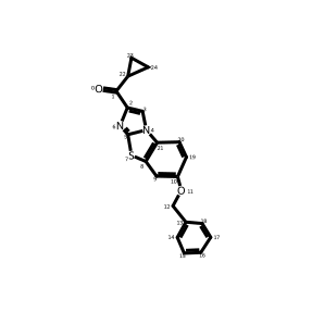 O=C(c1cn2c(n1)sc1cc(OCc3ccccc3)ccc12)C1CC1